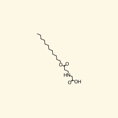 CCCCCCCCCCCCOC(=O)CCNCC(=O)O